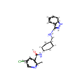 Cc1ncc(Cl)cc1C(=O)N[C@H]1CC[C@H](CNc2n[nH]c3ccccc23)CC1